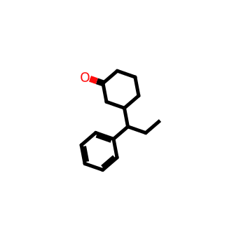 CCC(c1ccccc1)C1CCCC(=O)C1